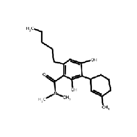 CCCCCc1cc(O)c(C2C=C(C)CCC2)c(O)c1C(=O)N(C)C